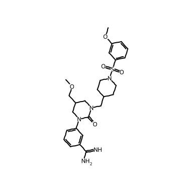 COCC1CN(CC2CCN(S(=O)(=O)c3cccc(OC)c3)CC2)C(=O)N(c2cccc(C(=N)N)c2)C1